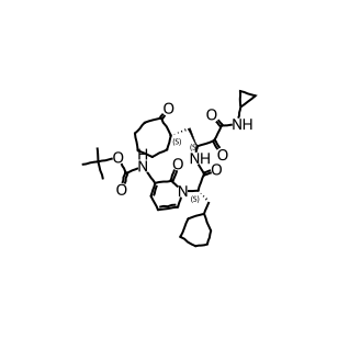 CC(C)(C)OC(=O)Nc1cccn([C@@H](CC2CCCCC2)C(=O)N[C@@H](C[C@@H]2CCCCCC2=O)C(=O)C(=O)NC2CC2)c1=O